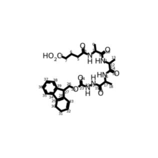 CC(NC(=O)CCCC(=O)O)C(=O)NC(C)C(=O)NC(C)C(=O)NNC(=O)OCC1C2=C(CCC=C2)c2ccccc21